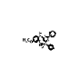 COc1ccc(Nc2cc(Nc3ccccc3)nc(N3CCCCC3)n2)c(C)c1